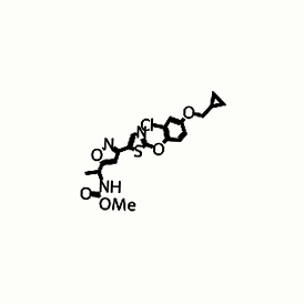 COC(=O)NC(C)c1cc(-c2cnc(Oc3ccc(OCC4CC4)cc3Cl)s2)no1